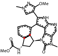 COC(=O)N[C@@H]1CC[C@@H](n2c(=O)n(C)c3cnc4[nH]c(-c5cn(C)nc5OC)c(-c5ccccc5)c4c32)C1